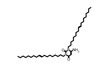 CCCCCCCCC=CCCCCCCCCn1c(N)cc(=O)n(CCCCCCCCC=CCCCCCCCC)c1=O